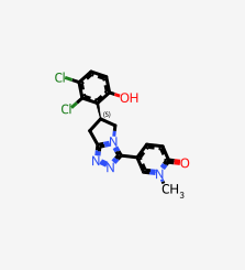 Cn1cc(-c2nnc3n2C[C@H](c2c(O)ccc(Cl)c2Cl)C3)ccc1=O